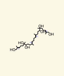 C/C(=C\CCC(C)(O)C(O)CC/C(C)=C/CC/C=C(\C)CCC(O)C(C)(O)CC/C=C(\C)CO)CO